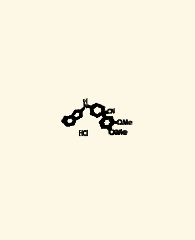 COc1ccc(C2(C#N)CCC(NC3Cc4ccccc4C3)CC2)cc1OC.Cl